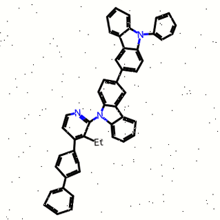 CCc1c(-c2ccc(-c3ccccc3)cc2)ccnc1-n1c2ccccc2c2cc(-c3ccc4c(c3)c3ccccc3n4-c3ccccc3)ccc21